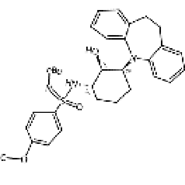 CCCCN=S(=O)(N[C@H]1CCC[C@H](N2c3ccccc3CCc3ccccc32)[C@@H]1O)c1ccc(OC(F)(F)F)cc1